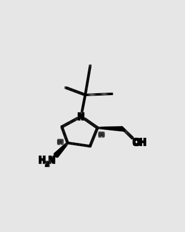 CC(C)(C)N1C[C@H](N)C[C@@H]1CO